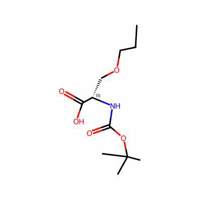 CCCOC[C@H](NC(=O)OC(C)(C)C)C(=O)O